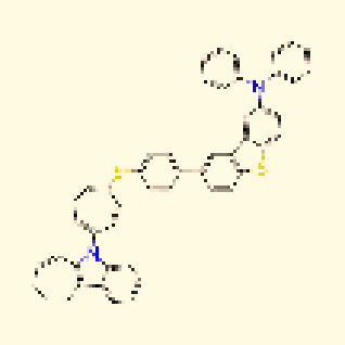 C1=Cc2c(n(C3=CCC=C(Sc4ccc(-c5ccc6sc7ccc(N(c8ccccc8)c8ccccc8)cc7c6c5)cc4)C=C3)c3ccccc23)C=CC1